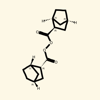 O=C(OOC(=O)[C@@H]1C[C@@H]2CC[C@H]1C2)[C@@H]1C[C@@H]2CC[C@H]1C2